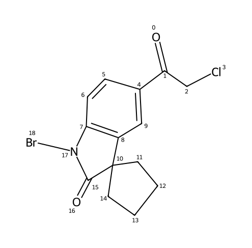 O=C(CCl)c1ccc2c(c1)C1(CCCC1)C(=O)N2Br